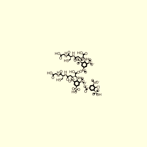 O=C(O)CNC(=O)[C@H](CS)NC(=O)CC[C@H](Nc1c([N+](=O)[O-])cc(S(=O)(=O)O)cc1[N+](=O)[O-])C(=O)O.O=C(O)CNC(=O)[C@H](CS)NC(=O)CC[C@H](Nc1c([N+](=O)[O-])cc([N+](=O)[O-])cc1S(=O)(=O)O)C(=O)O.O=[N+]([O-])c1cc([N+](=O)[O-])c(Cl)c(S(=O)(=O)O)c1